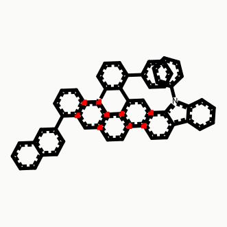 c1ccc(-c2ccccc2-c2c(-c3ccccc3)cccc2N(c2cccc(-c3ccc4ccccc4c3)c2)c2cccc(-c3ccc4c5ccccc5n(-c5ccccc5)c4c3)c2)cc1